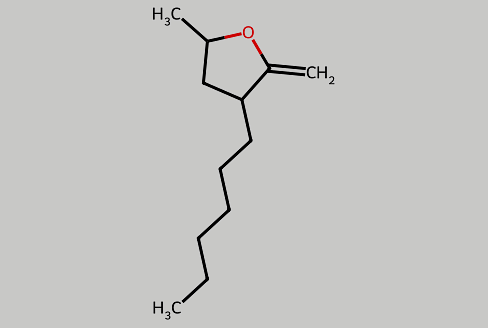 C=C1OC(C)CC1CCCCCC